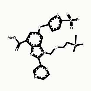 CCS(=O)(=O)c1ccc(Oc2cc(C(=O)OC)c3nc(-c4cnccn4)n(COCC[Si](C)(C)C)c3c2)cn1